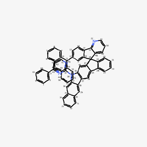 c1ccc(-c2c3ccccc3c(-c3ccc4c(c3)C3(c5ccccc5-c5cc6c7cc8ccccc8cc7n(-c7ncccn7)c6cc53)c3cccnc3-4)c3ccccc23)cc1